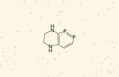 c1cc2c(pp1)NCCN2